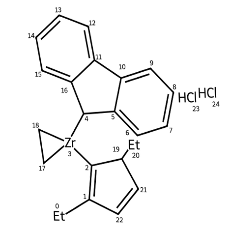 CCC1=[C]([Zr]2([CH]3c4ccccc4-c4ccccc43)[CH2][CH2]2)C(CC)C=C1.Cl.Cl